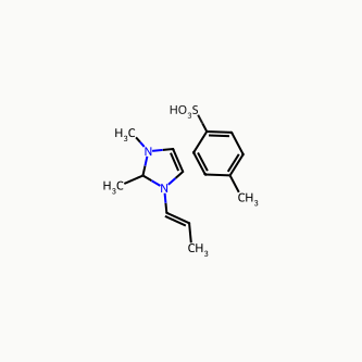 CC=CN1C=CN(C)C1C.Cc1ccc(S(=O)(=O)O)cc1